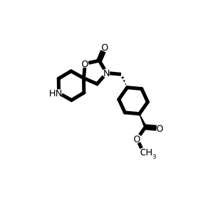 COC(=O)[C@H]1CC[C@H](CN2CC3(CCNCC3)OC2=O)CC1